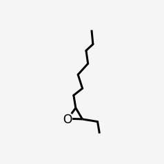 CCCCCCCC1OC1CC